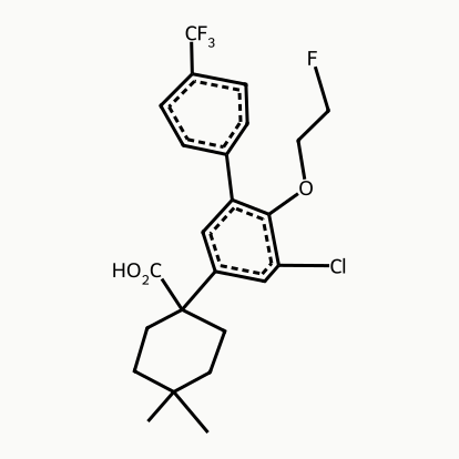 CC1(C)CCC(C(=O)O)(c2cc(Cl)c(OCCF)c(-c3ccc(C(F)(F)F)cc3)c2)CC1